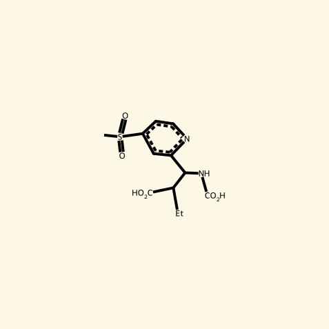 CCC(C(=O)O)C(NC(=O)O)c1cc(S(C)(=O)=O)ccn1